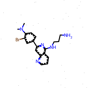 CN(C)c1ccc(-c2cc3ncccc3c(NCCCN)n2)cc1Br